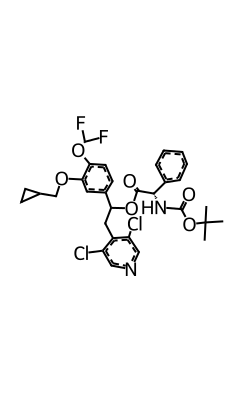 CC(C)(C)OC(=O)N[C@H](C(=O)OC(Cc1c(Cl)cncc1Cl)c1ccc(OC(F)F)c(OCC2CC2)c1)c1ccccc1